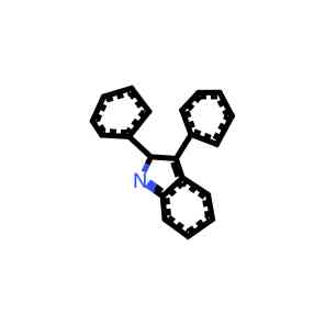 c1ccc([C]2N=c3ccccc3=C2c2ccccc2)cc1